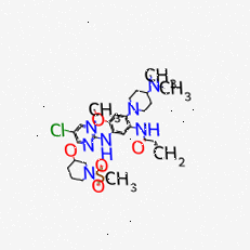 C=CC(=O)Nc1cc(Nc2ncc(Cl)c(OC3CCCN(S(C)(=O)=O)C3)n2)c(OC)cc1N1CCC(N(C)C)CC1